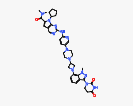 CN(C)C(=O)c1cc2cnc(Nc3ccc(N4CCN(C5CN(c6cccc7c(N8CCC(=O)NC8=O)nn(C)c67)C5)CC4)cn3)nc2n1C1CCCC1